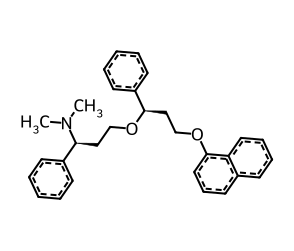 CN(C)[C@@H](CCO[C@H](CCOc1cccc2ccccc12)c1ccccc1)c1ccccc1